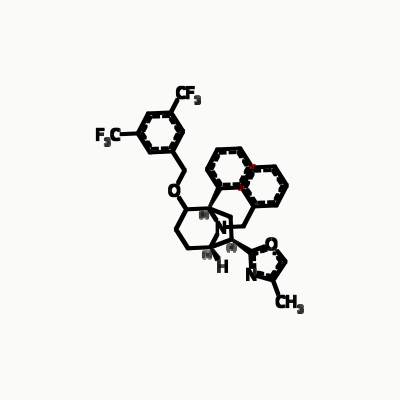 Cc1coc([C@@H]2C[C@@]3(c4ccccc4)C(OCc4cc(C(F)(F)F)cc(C(F)(F)F)c4)CC[C@@H]2N3Cc2ccccc2)n1